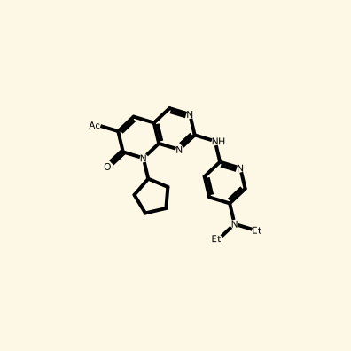 CCN(CC)c1ccc(Nc2ncc3cc(C(C)=O)c(=O)n(C4CCCC4)c3n2)nc1